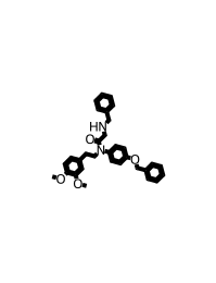 COc1ccc(CCN(C(=O)CNCc2ccccc2)c2ccc(OCc3ccccc3)cc2)cc1OC